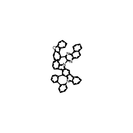 c1ccc2c(c1)-c1ccccc1-n1c3ccccc3c3cc4c(c-2c31)c1ccccc1n4-c1nc2ccc3ccccc3c2nc1-c1cccc2oc3ccccc3c12